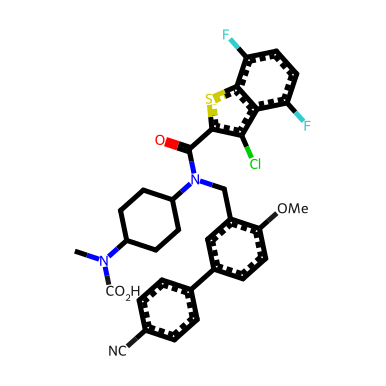 COc1ccc(-c2ccc(C#N)cc2)cc1CN(C(=O)c1sc2c(F)ccc(F)c2c1Cl)C1CCC(N(C)C(=O)O)CC1